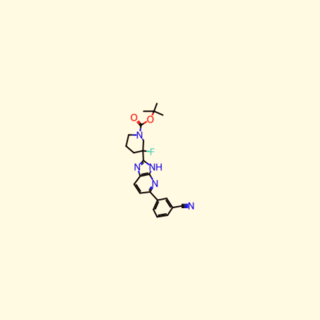 CC(C)(C)OC(=O)N1CCCC(F)(c2nc3ccc(-c4cccc(C#N)c4)nc3[nH]2)C1